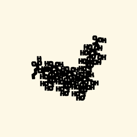 CC(=O)O.CC(C)C(=O)O.CCCCCC(=O)O.OC[C@H]1O[C@@](CO)(O[C@H]2O[C@H](CO)[C@@H](O)[C@H](O)[C@H]2O)[C@@H](O)[C@@H]1O.OC[C@H]1O[C@@](CO)(O[C@H]2O[C@H](CO)[C@@H](O)[C@H](O)[C@H]2O)[C@@H](O)[C@@H]1O.OC[C@H]1O[C@@](CO)(O[C@H]2O[C@H](CO)[C@@H](O)[C@H](O)[C@H]2O)[C@@H](O)[C@@H]1O.OC[C@H]1O[C@@](CO)(O[C@H]2O[C@H](CO)[C@@H](O)[C@H](O)[C@H]2O)[C@@H](O)[C@@H]1O